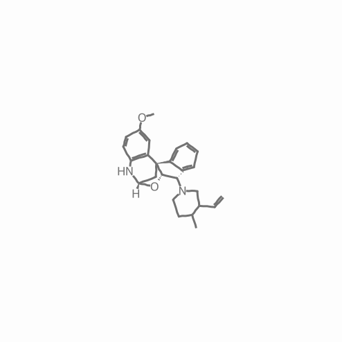 C=CC1CN([C@@H](C)[C@@H]2O[C@H]3C[C@]2(c2ccccc2)c2cc(OC)ccc2N3)CCC1C